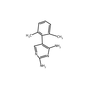 Cc1cccc(C)c1-c1cnc(N)nc1N